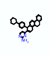 Nc1nccc(C2=CCc3c(ccc4c3CCc3ccccc3-4)C2c2ccc(C3CCCCC3)cc2)n1